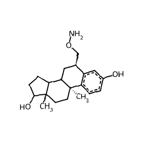 CC12CC[C@]3(C)c4ccc(O)cc4[C@H](CON)CC3C1CCC2O